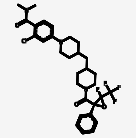 CN(C)C(=O)c1ccc(N2CCC(CC3CCN(C(=O)[C@@]4(c5ccccc5)OC4(F)C(F)(F)F)CC3)CC2)cc1Cl